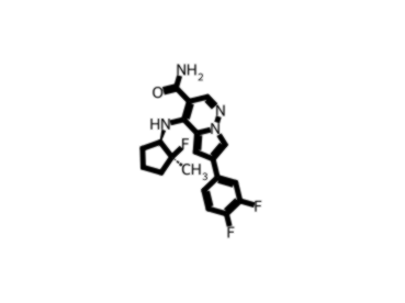 C[C@]1(F)CCC[C@H]1Nc1c(C(N)=O)cnn2cc(-c3ccc(F)c(F)c3)cc12